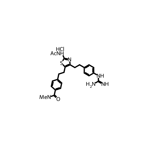 CNC(=O)c1ccc(CCc2sc(NC(C)=O)nc2CCc2ccc(NC(=N)N)cc2)cc1.Cl